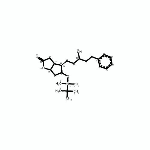 CC(C)(C)[Si](C)(C)OC1CC2OC(=O)CC2[C@H]1CCC(O)CCc1ccccc1